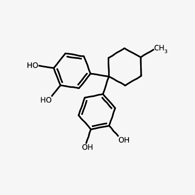 CC1CCC(c2ccc(O)c(O)c2)(c2ccc(O)c(O)c2)CC1